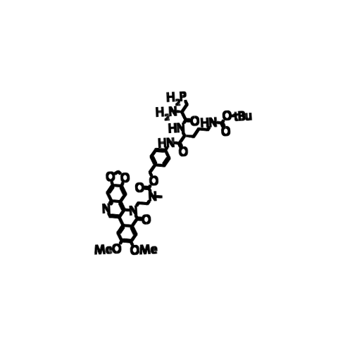 COc1cc2c(=O)n(CCN(C)C(=O)OCc3ccc(NC(=O)[C@H](CCCNC(=O)OC(C)(C)C)NC(=O)[C@@H](N)CP)cc3)c3c4cc5c(cc4ncc3c2cc1OC)OCO5